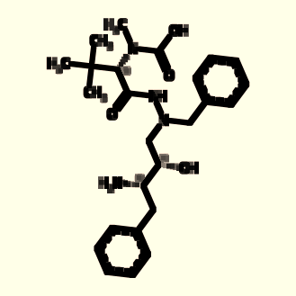 CN(C(=O)O)[C@H](C(=O)NN(Cc1ccccc1)C[C@H](O)[C@@H](N)Cc1ccccc1)C(C)(C)C